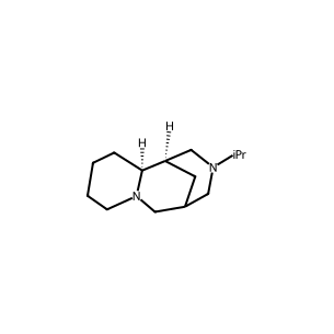 CC(C)N1CC2C[C@H](C1)[C@@H]1CCCCN1C2